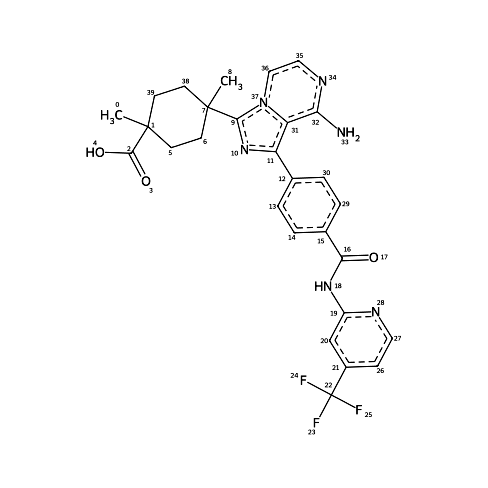 CC1(C(=O)O)CCC(C)(c2nc(-c3ccc(C(=O)Nc4cc(C(F)(F)F)ccn4)cc3)c3c(N)nccn23)CC1